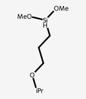 CO[SiH](CCCOC(C)C)OC